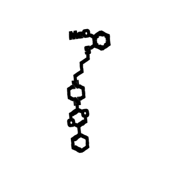 COc1ccccc1SCCCCN1CCN(C2=COC(C3=CC=CCC3)=CO2)CC1